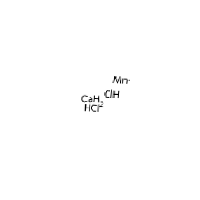 Cl.Cl.[CaH2].[Mn]